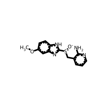 COc1ccc2[nH]c([S+]([O-])Cc3cccnc3N)nc2c1